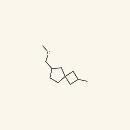 COCC1CCC2(CC(C)C2)C1